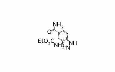 CCOC(N)=O.NC(=O)c1ccc2[nH]ncc2c1